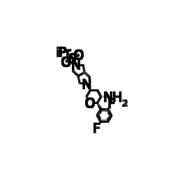 CC(C)S(=O)(=O)N1CC2CN([C@H]3CO[C@H](c4cc(F)ccc4F)[C@@H](N)C3)CC2C1